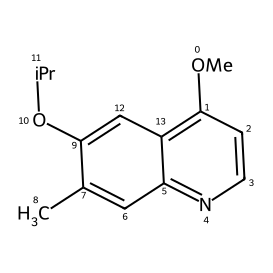 COc1ccnc2cc(C)c(OC(C)C)cc12